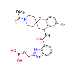 COC(=O)N1CCC2(CC1)CC(NC(=O)c1cccc3cn(COP(O)O)nc13)c1cc(Br)ccc1O2